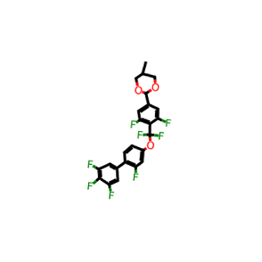 CC1COC(c2cc(F)c(C(F)(F)Oc3ccc(-c4cc(F)c(F)c(F)c4)c(F)c3)c(F)c2)OC1